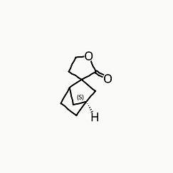 O=C1OCCC12C[C@H]1CCC2C1